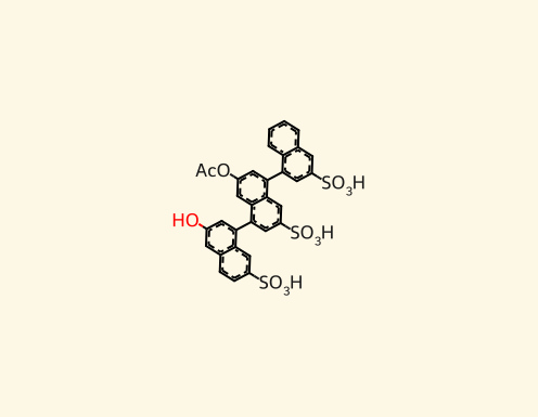 CC(=O)Oc1cc(-c2cc(S(=O)(=O)O)cc3ccccc23)c2cc(S(=O)(=O)O)cc(-c3cc(O)cc4ccc(S(=O)(=O)O)cc34)c2c1